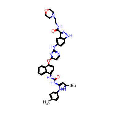 Cc1ccc(-n2nc(C(C)(C)C)cc2NC(=O)Nc2ccc(Oc3ccnc(Nc4ccc5[nH]nc(C(=O)NCCN6CCOCC6)c5c4)n3)c3ccccc23)cc1